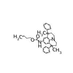 C=CCCOC(=O)Nc1cc2c3c(c1)[C@@](C)(c1ccccc1)CCN3CC[C@@]2(C)c1ccccc1